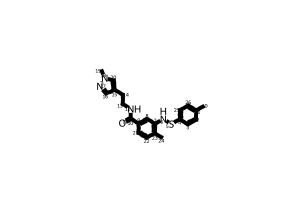 Cc1ccc(SNc2cc(C(=O)NCCc3cnn(C)c3)ccc2C)cc1